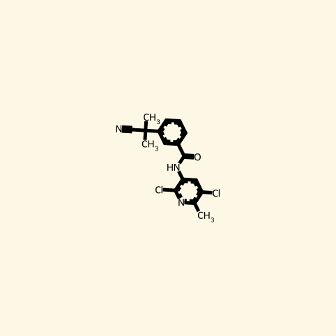 Cc1nc(Cl)c(NC(=O)c2cccc(C(C)(C)C#N)c2)cc1Cl